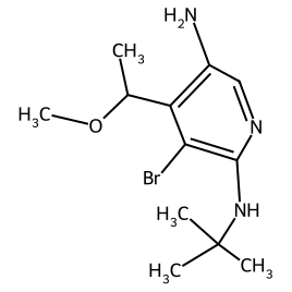 COC(C)c1c(N)cnc(NC(C)(C)C)c1Br